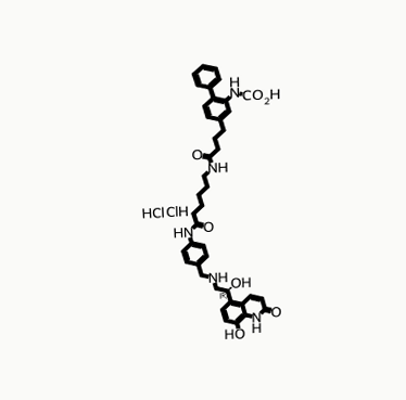 Cl.Cl.O=C(O)Nc1cc(CCCC(=O)NCCCCCC(=O)Nc2ccc(CNC[C@H](O)c3ccc(O)c4[nH]c(=O)ccc34)cc2)ccc1-c1ccccc1